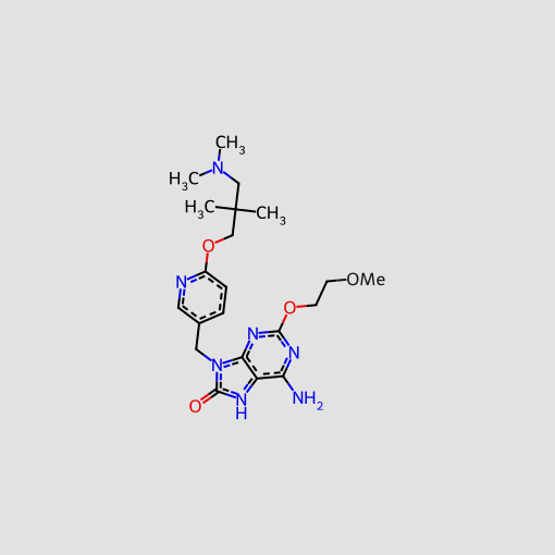 COCCOc1nc(N)c2[nH]c(=O)n(Cc3ccc(OCC(C)(C)CN(C)C)nc3)c2n1